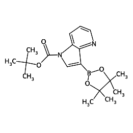 CC(C)(C)OC(=O)n1cc(B2OC(C)(C)C(C)(C)O2)c2ncccc21